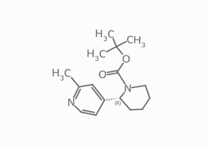 Cc1cc([C@H]2CCCCN2C(=O)OC(C)(C)C)ccn1